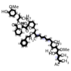 CO[C@@H]1C[C@H](C[C@@H](C)COC(=O)C2CCCCN2C(=O)C(=O)[C@]2(O)O[C@H](CC(OCCc3ccccc3)/C(C)=C/C=C/C=C/[C@@H](C)C[C@@H](C)C(=O)[C@H](OC)[C@H](O)/C(C)=C/[C@@H](C)C(C)=O)CC[C@H]2C)CC[C@H]1O